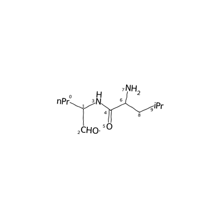 CCCC([C]=O)NC(=O)C(N)CC(C)C